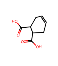 O=C(O)C1CC=CCC1C(=O)O